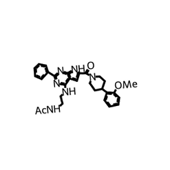 COc1ccccc1C1CCN(C(=O)c2cc3c(NCCNC(C)=O)nc(-c4ccccc4)nc3[nH]2)CC1